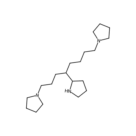 C(CCN1CCCC1)CC(CCCN1CCCC1)C1CCCN1